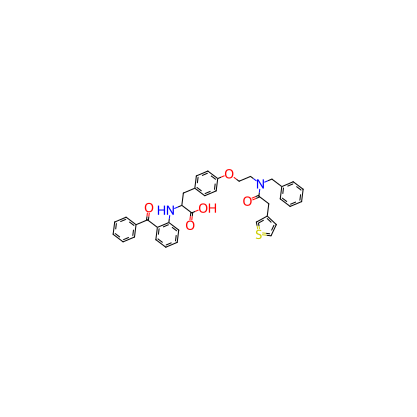 O=C(c1ccccc1)c1ccccc1NC(Cc1ccc(OCCN(Cc2ccccc2)C(=O)Cc2ccsc2)cc1)C(=O)O